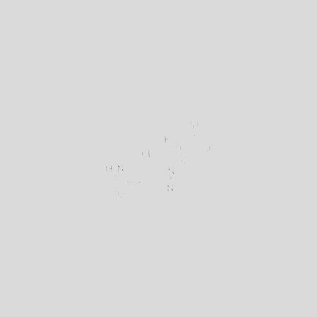 NC(=O)c1cnn(-c2cccc(Cl)c2F)c1Cl